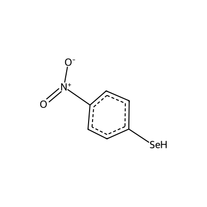 O=[N+]([O-])c1ccc([SeH])cc1